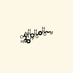 CN(C)C/C=C/C(=O)Nc1ccc(C(=O)N[C@@H]2C[C@H](Nc3ncc(Cl)c(-c4c[nH]c5ccccc45)n3)CC(F)(F)C2)cc1